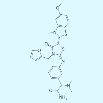 COc1ccc2c(c1)N(C)C(=C1SC(=Nc3cccc(C(C(N)=O)N(C)C)c3)N(Cc3ccco3)C1=O)S2